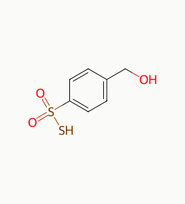 O=S(=O)(S)c1ccc(CO)cc1